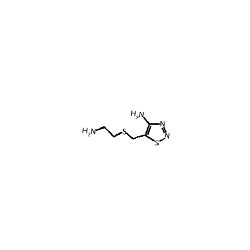 NCCSCc1snnc1N